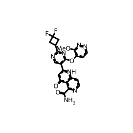 COc1nnccc1Oc1nc(C2CC(F)(F)C2)ncc1-c1cc(=O)c2c(C(N)=O)nccc2[nH]1